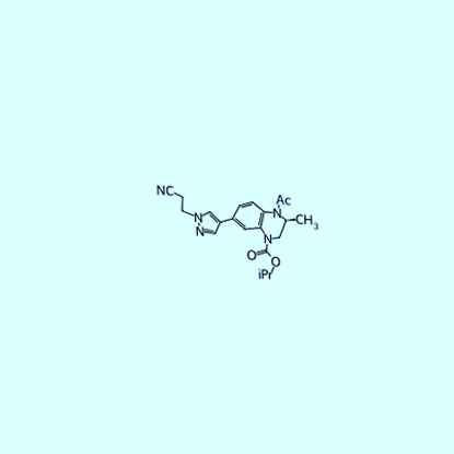 CC(=O)N1c2ccc(-c3cnn(CCC#N)c3)cc2N(C(=O)OC(C)C)C[C@@H]1C